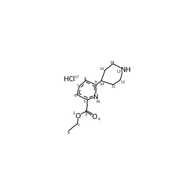 CCOC(=O)c1cccc(C2CCNCC2)n1.Cl